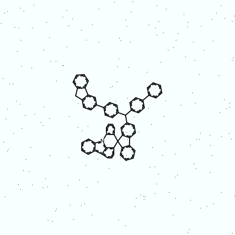 c1ccc(-c2ccc(C(c3ccc(-c4ccc5c(c4)-c4ccccc4C5)cc3)c3ccc4c(c3)C3(c5ccccc5-4)c4ccccc4-n4c5ccccc5c5cccc3c54)cc2)cc1